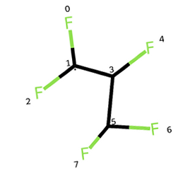 F[C](F)C(F)C(F)F